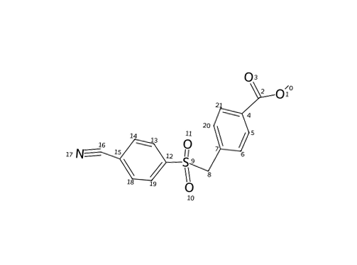 COC(=O)c1ccc(CS(=O)(=O)c2ccc(C#N)cc2)cc1